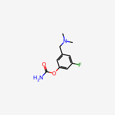 CN(C)Cc1cc(F)cc(OC(N)=O)c1